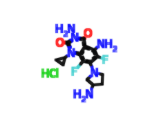 Cl.Nc1c(F)c(N2CCC(N)C2)c(F)c2c1c(=O)n(N)c(=O)n2C1CC1